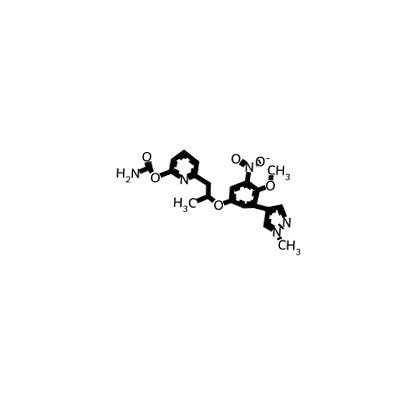 COc1c(-c2cnn(C)c2)cc(OC(C)Cc2cccc(OC(N)=O)n2)cc1[N+](=O)[O-]